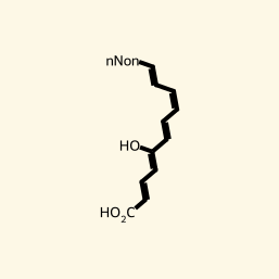 CCCCCCCCC/C=C/C=C\C=C\C(O)=C\C=C\C(=O)O